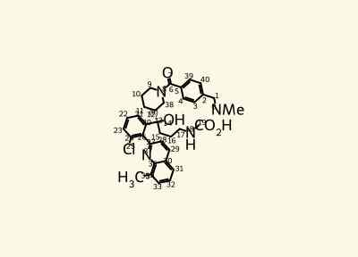 CNCc1ccc(C(=O)N2CCC[C@@H](C(O)(CCCNC(=O)O)c3cccc(Cl)c3-c3ccc4cccc(C)c4n3)C2)cc1